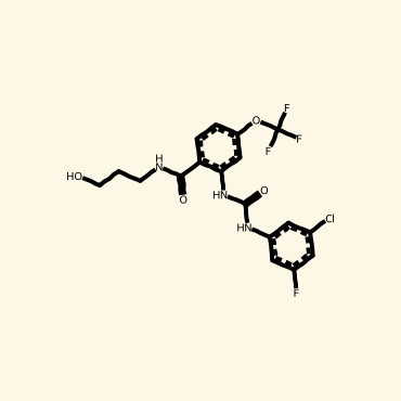 O=C(Nc1cc(F)cc(Cl)c1)Nc1cc(OC(F)(F)F)ccc1C(=O)NCCCO